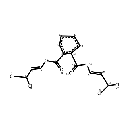 O=C(OC=CC(Cl)Cl)c1ccccc1C(=O)OC=CC(Cl)Cl